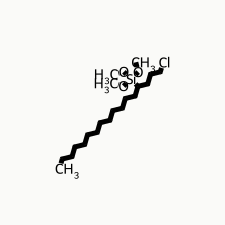 CCCCCCCCCCCCCC(CCCCl)[Si](OC)(OC)OC